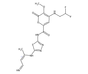 COc1c(NCC(F)F)cc(C(=O)Nc2nnc(N/C(C)=C\C=N)s2)oc1=O